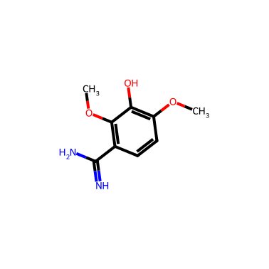 COc1ccc(C(=N)N)c(OC)c1O